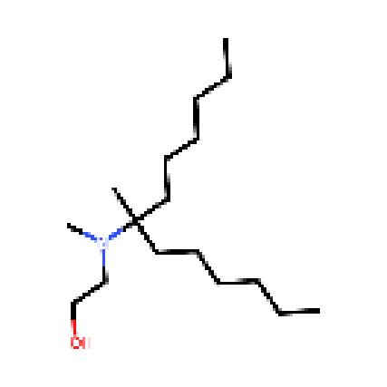 CCCCCCC(C)(CCCCCC)N(C)CCO